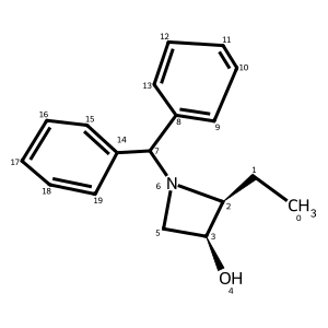 CC[C@H]1[C@@H](O)CN1C(c1ccccc1)c1ccccc1